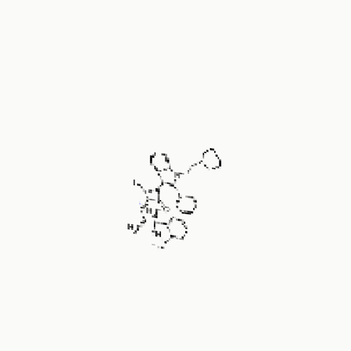 C=C(/C=C1\C(=O)C(c2c(-c3ccccc3)n(CCC3CCCCC3)c3ccccc23)=C1O)C(C)(C)c1ccccc1C